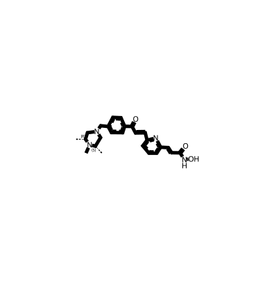 C[C@@H]1CN(Cc2ccc(C(=O)C=Cc3cccc(C=CC(=O)NO)n3)cc2)C[C@H](C)N1C